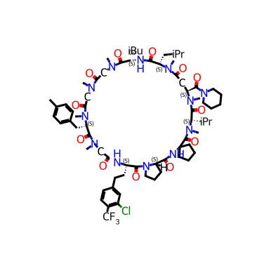 CC[C@H](C)[C@@H]1NC(=O)[C@H](CC(C)C)N(C)C(=O)C[C@@H](C(=O)N2CCCCC2)N(C)C(=O)[C@H](C(C)C)N(C)C(=O)C2(CCCC2)NC(=O)[C@@H]2CCCN2C(=O)[C@H](CCc2ccc(C(F)(F)F)c(Cl)c2)NC(=O)CN(C)C(=O)[C@H](Cc2ccc(C)cc2)N(C)C(=O)CN(C)C(=O)CN(C)C1=O